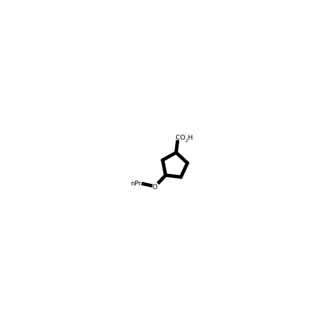 CCCOC1CCC(C(=O)O)C1